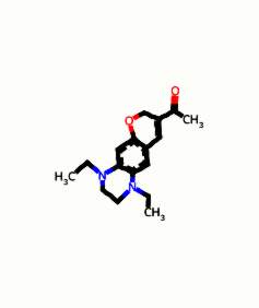 CCN1CCN(CC)c2cc3c(cc21)C=C(C(C)=O)CO3